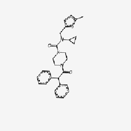 Cc1ccc(CN(C(=O)N2CCN(C(=O)C(c3ccccc3)c3ccccc3)CC2)C2CC2)s1